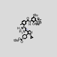 COc1c(NC(=O)c2ccc(C)c(N(N)/C=C(\N)c3cnn(C4CC4)c3C3CCN(C(=O)OC(C)(C)C)CC3)c2)cc(C(C)(C)C)cc1NS(C)(=O)=O